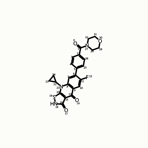 O=C(c1ccc(-c2cc3c(cc2F)c(=O)c2c(=O)[nH]sc2n3C2CC2)cc1)N1CCOCC1